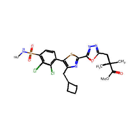 COC(=O)C(C)(C)Cc1nnc(-c2nc(CC3CCC3)c(-c3ccc(S(=O)(=O)NC(C)(C)C)c(Cl)c3Cl)s2)o1